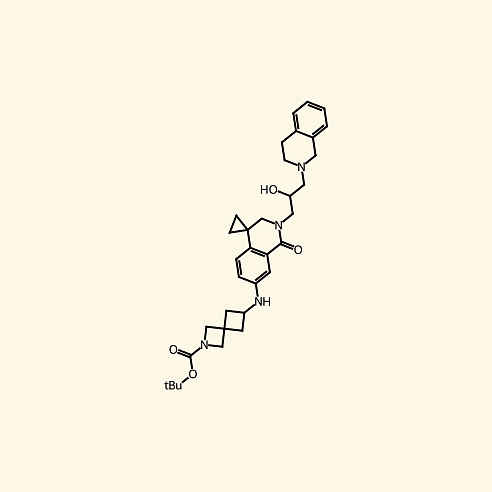 CC(C)(C)OC(=O)N1CC2(CC(Nc3ccc4c(c3)C(=O)N(CC(O)CN3CCc5ccccc5C3)CC43CC3)C2)C1